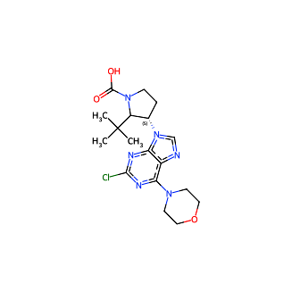 CC(C)(C)C1[C@@H](n2cnc3c(N4CCOCC4)nc(Cl)nc32)CCN1C(=O)O